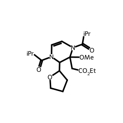 CCOC(=O)CC1(OC)C(C2CCCO2)N(C(=O)C(C)C)C=CN1C(=O)C(C)C